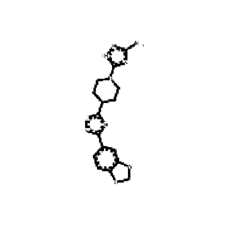 Nc1n[nH]c(N2CCC(c3nc(-c4ccc5c(c4)OCO5)no3)CC2)n1